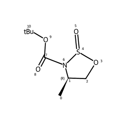 C[C@@H]1COS(=O)N1C(=O)OC(C)(C)C